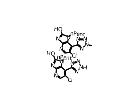 CCCCCn1c(O)nc2ncc(Cl)c(-c3nn[nH]n3)c21.CCCCCn1c(O)nc2ncc(Cl)c(-c3nnn(C)n3)c21